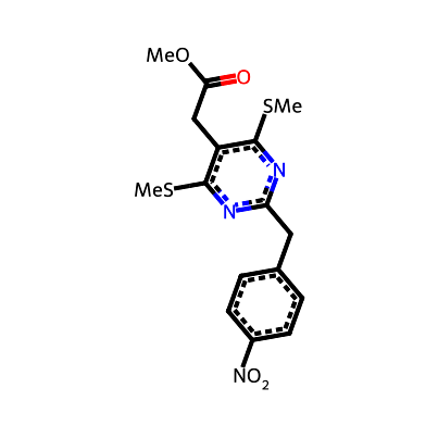 COC(=O)Cc1c(SC)nc(Cc2ccc([N+](=O)[O-])cc2)nc1SC